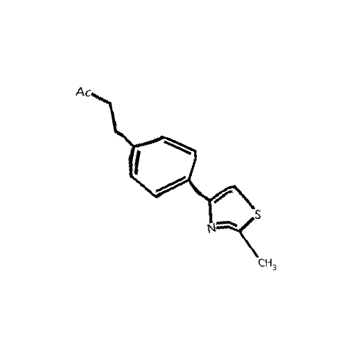 CC(=O)CCc1ccc(-c2csc(C)n2)cc1